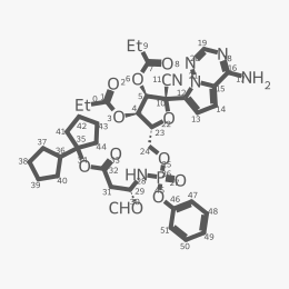 CCC(=O)O[C@H]1[C@@H](OC(=O)CC)[C@](C#N)(c2ccc3c(N)ncnn23)O[C@@H]1COP(=O)(N[C@H](C=O)CC(=O)OC1(C2CCCC2)CCCC1)Oc1ccccc1